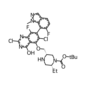 CC[C@@H]1CN[C@H](COc2c(Cl)c(-c3c(F)ccc4cnn(C)c34)c(F)c3nc(Cl)nc(O)c23)CN1C(=O)OC(C)(C)C